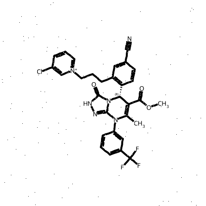 COC(=O)C1=C(C)N(c2cccc(C(F)(F)F)c2)c2n[nH]c(=O)n2[C@@H]1c1ccc(C#N)cc1CCC[n+]1cccc(Cl)c1